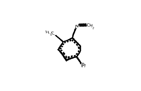 C=Nc1cc(C(C)C)ccc1C